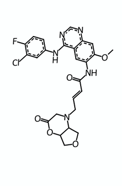 COc1cc2ncnc(Nc3ccc(F)c(Cl)c3)c2cc1NC(=O)C=CCN1CC(=O)OC2COCC21